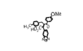 COc1ccc(C(=O)/C(Cc2ccc(C)cc2)=C(/C(=O)O)c2ccc3nonc3c2)cc1